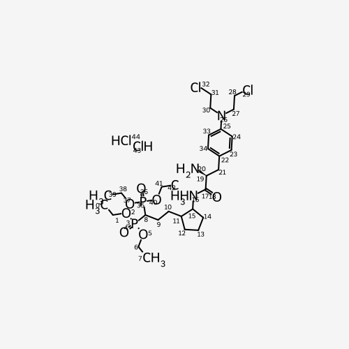 CCOP(=O)(OCC)C(CCC1CCCC1NC(=O)[C@@H](N)Cc1ccc(N(CCCl)CCCl)cc1)P(=O)(OCC)OCC.Cl.Cl